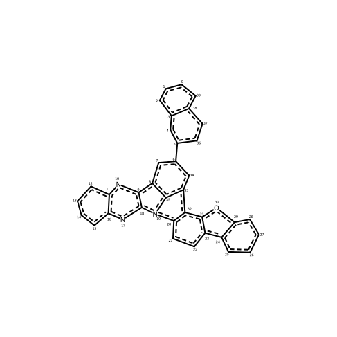 c1ccc2cc(-c3cc4c5nc6ccccc6nc5n5c6ccc7c8ccccc8oc7c6c(c3)c45)ccc2c1